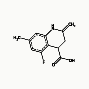 C=C1CC(C(=O)O)c2c(F)cc(C)cc2N1